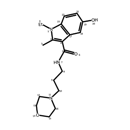 CCn1c(C)c(C(=O)NCCCN2CCOCC2)c2cc(O)ccc21